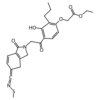 CCCc1c(OCC(=O)OCC)ccc(C(=O)CN2CC3=C(C=CC(=C=NSC)C3)C2=O)c1O